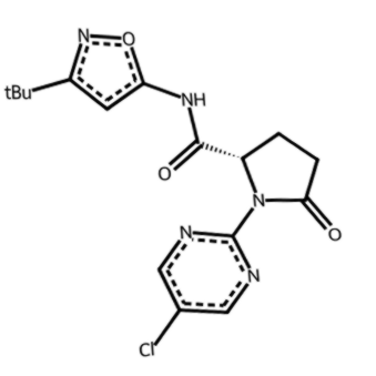 CC(C)(C)c1cc(NC(=O)[C@@H]2CCC(=O)N2c2ncc(Cl)cn2)on1